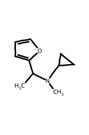 CC(c1ccco1)N(C)C1CC1